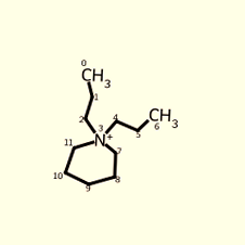 CCC[N+]1(CCC)CCCCC1